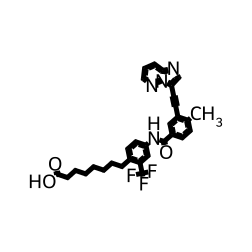 Cc1ccc(C(=O)Nc2ccc(CCCCCCCC(=O)O)c(C(F)(F)F)c2)cc1C#Cc1cnc2cccnn12